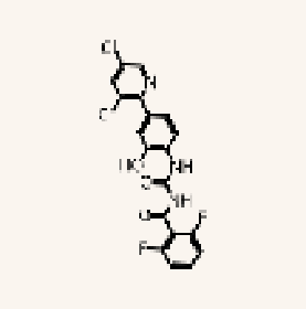 O=C(NC(=O)c1c(F)cccc1F)Nc1ccc(-c2ncc(Cl)cc2Cl)cc1O